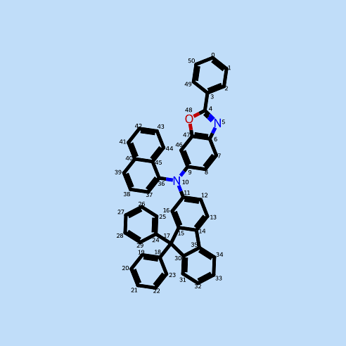 c1ccc(-c2nc3ccc(N(c4ccc5c(c4)C(c4ccccc4)(c4ccccc4)c4ccccc4-5)c4cccc5ccccc45)cc3o2)cc1